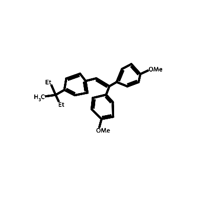 CCC(C)(CC)c1ccc(C=C(c2ccc(OC)cc2)c2ccc(OC)cc2)cc1